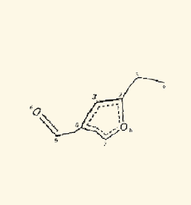 CCc1cc(C=O)co1